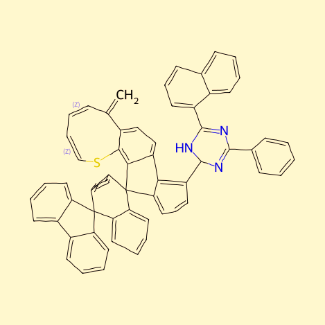 C=C1/C=C\C=C/Sc2c1ccc1c2C2(c3ccccc3C3(c4ccccc4-c4ccccc43)c3ccccc32)c2cccc(C3N=C(c4ccccc4)N=C(c4cccc5ccccc45)N3)c2-1